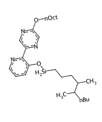 CCCCCCCCOc1cnc(-c2ncccc2O[SiH2]CCCC(C)C(C)CCCC)cn1